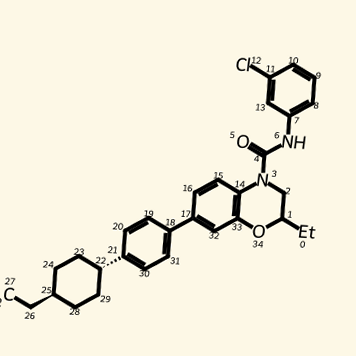 CCC1CN(C(=O)Nc2cccc(Cl)c2)c2ccc(-c3ccc([C@H]4CC[C@H](CC(=O)O)CC4)cc3)cc2O1